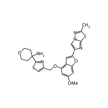 COc1cc(OCc2csc(C3(N)CCOCC3)n2)c2cc(-c3cn4nc(C)sc4n3)oc2c1